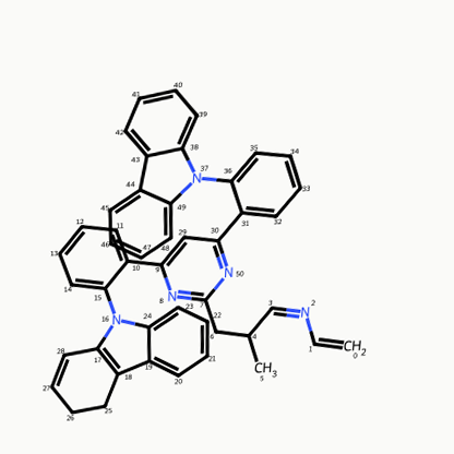 C=C/N=C\C(C)Cc1nc(-c2ccccc2-n2c3c(c4ccccc42)CCC=C3)cc(-c2ccccc2-n2c3ccccc3c3ccccc32)n1